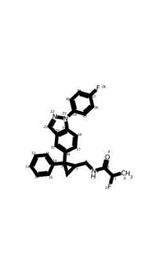 CC(F)C(=O)NCC1CC1(c1ccccc1)c1ccc2c(cnn2-c2ccc(F)cc2)c1